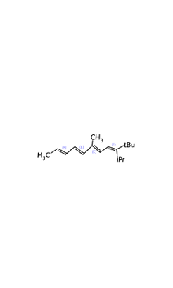 C/C=C/C=C/C(C)=C/C=C(\C(C)C)C(C)(C)C